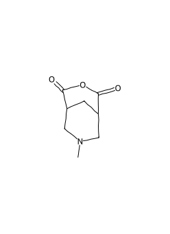 CN1CC2CC(C1)C(=O)OC2=O